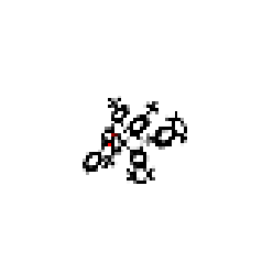 CC(C)(C)c1ccc2c(c1)B1c3cc4c(cc3N(c3ccc5c(c3)C(C)(C)CCC5(C)C)c3cc(C(C)(C)C)cc(c31)N2c1ccc(C(C)(C)C)cc1-c1ccc(-c2ccccc2)cc1)C(C)(C)CCC4(C)C